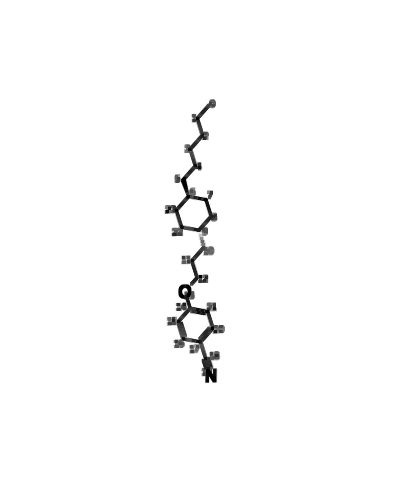 CCCCCC[C@H]1CC[C@H](CCCOc2ccc(C#N)cc2)CC1